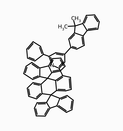 CC1(C)c2ccccc2-c2ccc(-c3cc(-c4ccccc4)nc(-c4cccc5c4C4(c6ccccc6-c6ccccc64)c4ccccc4C54c5ccccc5-c5ccccc54)c3)cc21